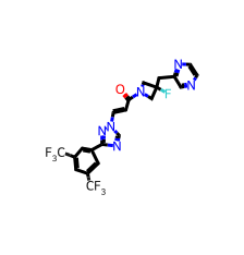 O=C(C=Cn1cnc(-c2cc(C(F)(F)F)cc(C(F)(F)F)c2)n1)N1CC(F)(Cc2cnccn2)C1